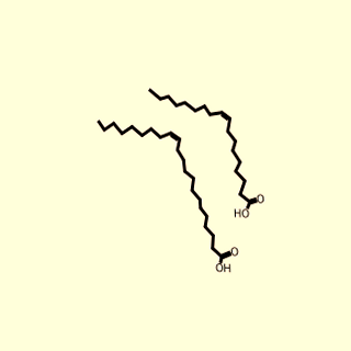 CCCCCCCC/C=C\CCCCCCCC(=O)O.CCCCCCCC/C=C\CCCCCCCCCCCC(=O)O